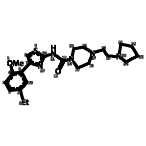 CCc1ccc(OC)c(-c2csc(NC(=O)N3CCN(CCN4CCCC4)CC3)n2)c1